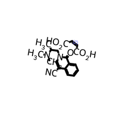 CC(Cn1cc(C#N)c2ccccc2c1=O)N(C)C.O=C(O)/C=C\C(=O)O